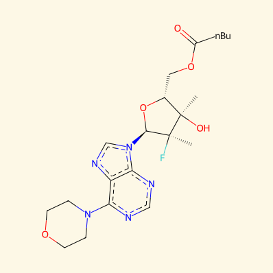 CCCCC(=O)OC[C@H]1O[C@H](n2cnc3c(N4CCOCC4)ncnc32)[C@](C)(F)[C@]1(C)O